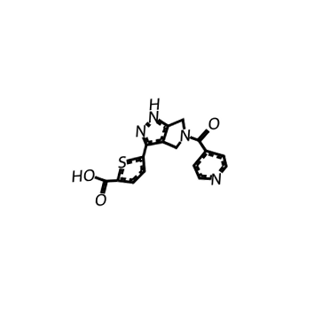 O=C(O)c1ccc(-c2n[nH]c3c2CN(C(=O)c2ccncc2)C3)s1